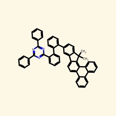 CC1(C)c2ccc(-c3ccccc3-c3ccccc3-c3nc(-c4ccccc4)nc(-c4ccccc4)n3)cc2-c2ccc3c4ccccc4c4ccccc4c3c21